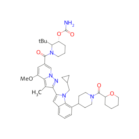 COc1cc(C(=O)N2CCC[C@@H](OC(N)=O)C2C(C)(C)C)cn2nc(-c3cc4cccc(C5CCN(C(=O)C6CCCCO6)CC5)c4n3CC3CC3)c(C)c12